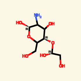 NC1C(O)[C@H](O[C@@H](O)CO)C(CO)O[C@@H]1O